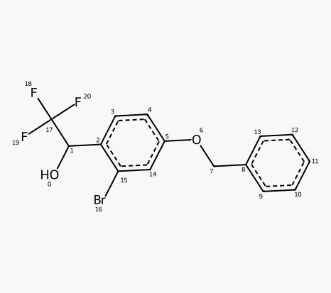 OC(c1ccc(OCc2ccccc2)cc1Br)C(F)(F)F